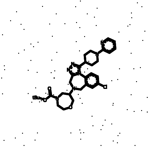 CC(C)(C)OC(=O)N1CCOCC(N2Cc3cc(Cl)ccc3-n3c(nnc3C3CCN(c4ccccn4)CC3)C2)C1